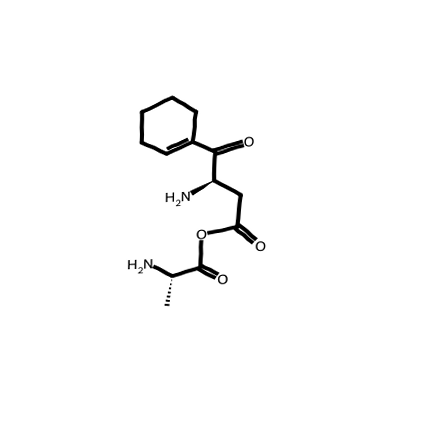 C[C@H](N)C(=O)OC(=O)C[C@@H](N)C(=O)C1=CCCCC1